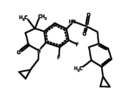 CC1CC(CS(=O)(=O)Nc2cc3c(c(F)c2F)N(CC2CC2)C(=O)CC3(C)C)=CC=C1C1CC1